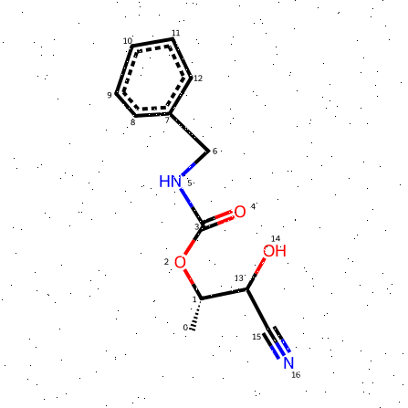 C[C@H](OC(=O)NCc1ccccc1)C(O)C#N